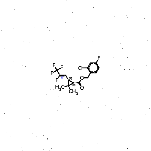 CC1(C)[C@H](C(=O)OCc2ccc(F)cc2Cl)[C@@H]1/C=C(\F)C(F)(F)F